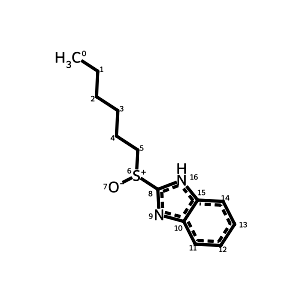 CCCCCC[S+]([O-])c1nc2ccccc2[nH]1